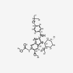 COC(=O)Cc1cc2nc(Nc3ccc(OC(C)C)cc3)n([C@@H]3C[C@H](C)CC[C@H]3C(C)C)c2cc1OC